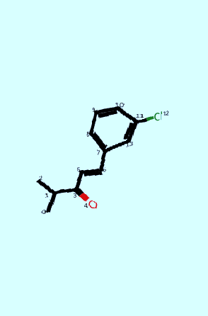 CC(C)C(=O)/C=C/c1cccc(Cl)c1